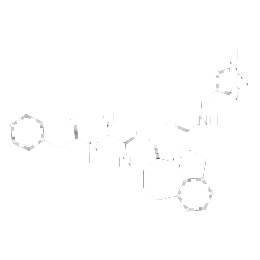 C[C@H](NC(=O)Cc1ccccc1)C(=O)N[C@H]1CCc2cccc3c2N(C1=O)[C@H](C(=O)NCc1c[nH]nn1)C3